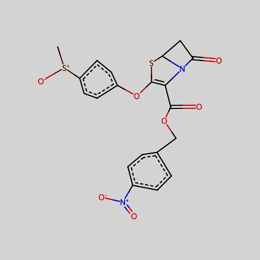 C[S+]([O-])c1ccc(OC2=C(C(=O)OCc3ccc([N+](=O)[O-])cc3)N3C(=O)CC3S2)cc1